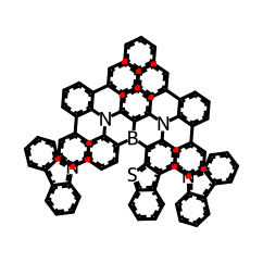 c1ccc(-c2cc3c4c(c2)N(c2c(-c5ccccc5)cccc2-c2ccccc2)c2cc(-n5c6ccccc6c6ccccc65)c5c(sc6ccccc65)c2B4c2ccc(-n4c5ccccc5c5ccccc54)cc2N3c2c(-c3ccccc3)cccc2-c2ccccc2)cc1